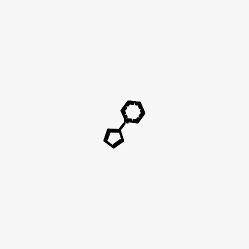 C1=CC=CC=1[n+]1ccccc1